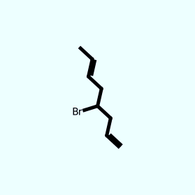 C=CCC(Br)C/C=C/C